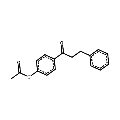 CC(=O)Oc1ccc(C(=O)CCc2ccccc2)cc1